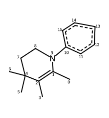 CC1=C(C)C(C)(C)CCN1c1ccccc1